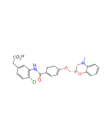 CN1C[C@@H](COc2ccc(C(=O)Nc3cc(CC(=O)O)ccc3Cl)cc2)Oc2ccccc21